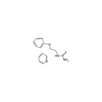 NC(=S)NCCOc1ccccc1.c1ccncc1